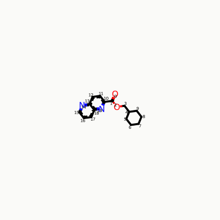 O=C(OCC1CCCCC1)c1ccc2ncccc2n1